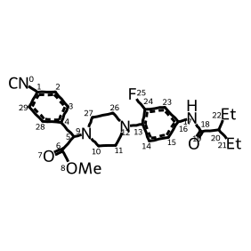 [C-]#[N+]c1ccc(C(C(=O)OC)N2CCN(c3ccc(NC(=O)C(CC)CC)cc3F)CC2)cc1